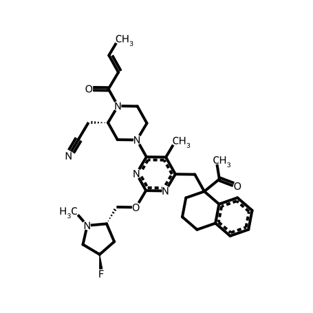 C/C=C/C(=O)N1CCN(c2nc(OC[C@@H]3C[C@@H](F)CN3C)nc(CC3(C(C)=O)CCCc4ccccc43)c2C)C[C@@H]1CC#N